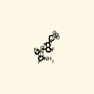 C[C@@H]1C[C@H](N)C[C@H](c2ccncc2NC(=O)c2ccc(F)c3cc(N4CCCN(S(C)(=O)=O)CC4)cnc23)C1